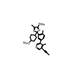 CC#Cc1cncc(-c2ccc(C)c(C3(C4CCC(OC)CC4)N=C(C)C(NC)=N3)c2)c1C